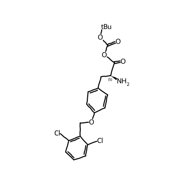 CC(C)(C)OC(=O)OC(=O)[C@@H](N)Cc1ccc(OCc2c(Cl)cccc2Cl)cc1